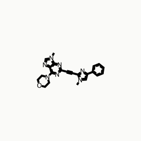 Cn1cc(-c2ccccc2)nc1C#Cc1nc(N2CCOCC2)c2ncn(C)c2n1